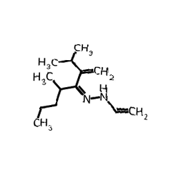 C=CN/N=C(\C(=C)C(C)C)C(C)CCC